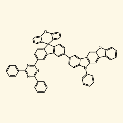 c1ccc(-c2nc(-c3ccccc3)nc(-c3ccc4c(c3)-c3cc(-c5ccc6c(c5)c5cc7oc8ccccc8c7cc5n6-c5ccccc5)ccc3C43c4ccccc4Oc4ccccc43)n2)cc1